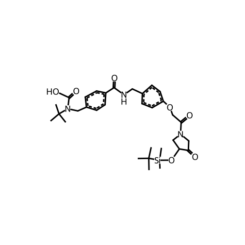 CC(C)(C)N(Cc1ccc(C(=O)NCc2ccc(OCC(=O)N3CC(=O)C(O[Si](C)(C)C(C)(C)C)C3)cc2)cc1)C(=O)O